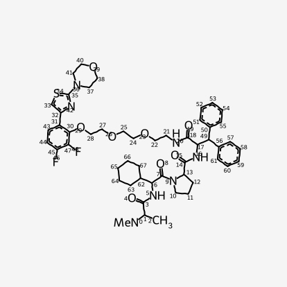 CNC(C)C(=O)NC(C(=O)N1CCCC1C(=O)NC(C(=O)NCCOCCOCCOc1c(-c2csc(N3CCOCC3)n2)ccc(F)c1F)C(c1ccccc1)c1ccccc1)C1CCCCC1